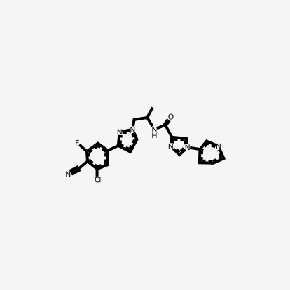 CC(Cn1ccc(-c2cc(F)c(C#N)c(Cl)c2)n1)NC(=O)c1cn(-c2cccnc2)cn1